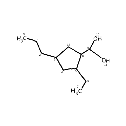 CCCC1CC(CC)C(C(O)O)C1